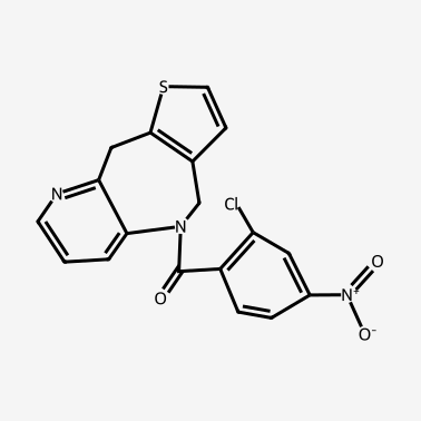 O=C(c1ccc([N+](=O)[O-])cc1Cl)N1Cc2ccsc2Cc2ncccc21